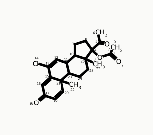 CC(=O)OC1(C(C)=O)CCC2C3C=C(Cl)C4=CC(=O)C=CC4(C)C3CCC21C